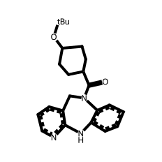 CC(C)(C)OC1CCC(C(=O)N2Cc3cccnc3Nc3ccccc32)CC1